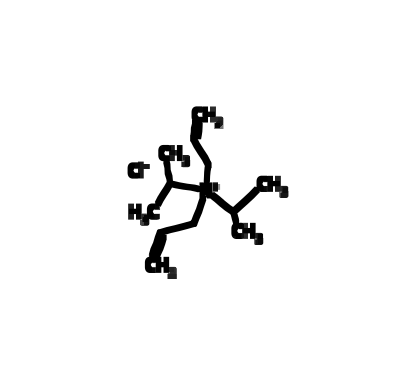 C=CC[N+](CC=C)(C(C)C)C(C)C.[Cl-]